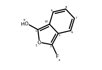 Oc1oc(F)c2ccccc12